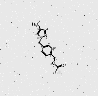 CC(=O)OCc1ccc(Cn2cc(C)cn2)cn1